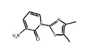 Cc1nc(-n2cccc(N)c2=O)sc1C